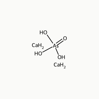 O=[As](O)(O)O.[CaH2].[CaH2]